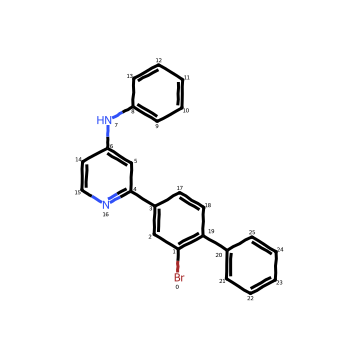 Brc1cc(-c2cc(Nc3ccccc3)ccn2)ccc1-c1ccccc1